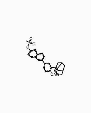 COc1ccc(-c2ccc3cc(OS(C)(=O)=O)ccc3c2)cc1C12CC3CC(CC(C3)C1)C2